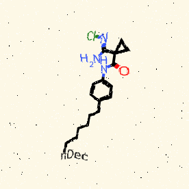 CCCCCCCCCCCCCCCCc1ccc(NC(=O)C2(/C(N)=N/Cl)CC2)cc1